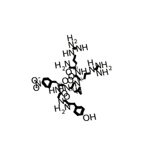 CC(C)C[C@H](NC(=O)[C@H](Cc1ccc([N+](=O)[O-])cc1)NC(=O)CN(C)C(=O)[C@@H](N)Cc1ccc(O)cc1)C(=O)N[C@@H](CCCNC(=N)N)C(=O)N[C@H](CCCNC(=N)N)C(N)=O